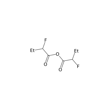 CCC(F)C(=O)OC(=O)C(F)CC